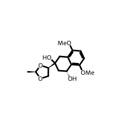 COc1ccc(OC)c2c1CC(O)([C@H]1CO[C@@H](C)O1)C[C@H]2O